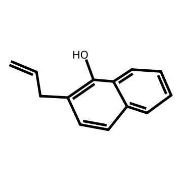 C=CCc1ccc2ccccc2c1O